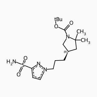 CC(C)(C)OC(=O)N1C[C@H](CCCn2ccc(S(N)(=O)=O)n2)CC1(C)C